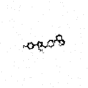 Cn1c(CN2CCN(c3cccc4ccoc34)CC2)ccc1-c1ccc(F)cc1